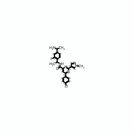 CC(N)c1ccc(C(C)NC(=O)c2cc(-c3ccc(Cl)cc3)nc(-c3cnn(C)c3)n2)c(F)c1